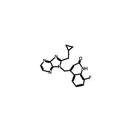 O=c1cc(Cn2c(CC3CC3)nc3nccnc32)c2cccc(F)c2[nH]1